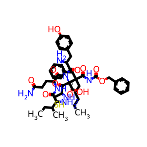 CCCCCC(Cc1ccccc1)(C(=O)NC(=O)OCc1ccccc1)[C@](C(=O)O)(C(=O)C(N)CS)N(C(=O)C(N)Cc1ccc(O)cc1)C(=O)C(CCC(N)=O)NC(=O)C(N)C(C)CC